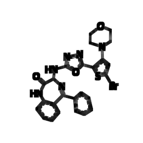 O=C1Nc2ccccc2C(c2ccccc2)=NC1Nc1nnc(-c2sc(Br)cc2N2CCOCC2)o1